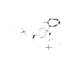 CC(C)(C)OC(=O)N1CCC(/C=N\[S@+]([O-])C(C)(C)C)(c2ccccc2I)CC1